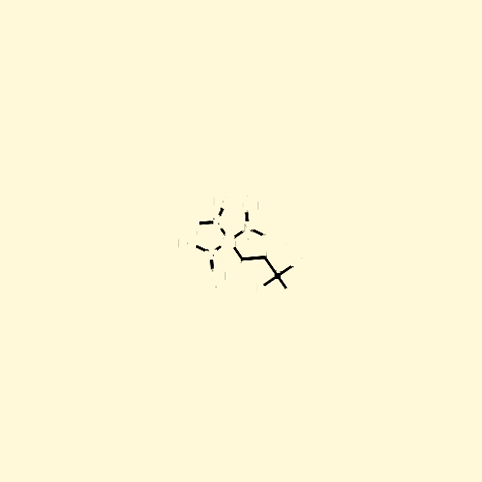 C[N](C)[Sn]([CH2]CC(F)(F)F)([N](C)C)[N](C)C